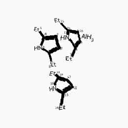 CCc1ccc(CC)[nH]1.CCc1ccc(CC)[nH]1.CCc1ccc(CC)[nH]1.[AlH3]